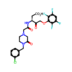 O=C(O)C[C@H](NC(=O)CN1CCN(Cc2cccc(Cl)c2)C(=O)C1)C(=O)COc1c(F)c(F)cc(F)c1F